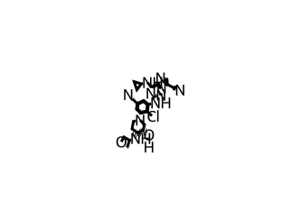 N#Cc1cc(Nc2nc(NC3CC3)c3ncc(C#N)n3n2)c(Cl)c(N2CC[C@@H](NC3COC3)[C@H](O)C2)c1